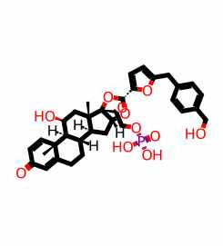 C[C@]12C=CC(=O)C=C1CC[C@@H]1[C@@H]2[C@@H](O)C[C@@]2(C)[C@H]1C[C@H]1O[C@@H](c3ccc(Cc4ccc(CO)cc4)o3)O[C@]12C(=O)COP(=O)(O)O